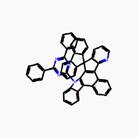 c1ccc(-c2nc(-c3ccccc3)nc(-n3c4ccccc4c4c5ccccc5c5c(c43)C3(c4ccccc4-c4ccccc43)c3cccnc3-5)n2)cc1